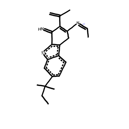 C=C(C)C1=C(/N=C\C)Cc2c(sc3cc(C(C)(C)CC)ccc23)C1=N